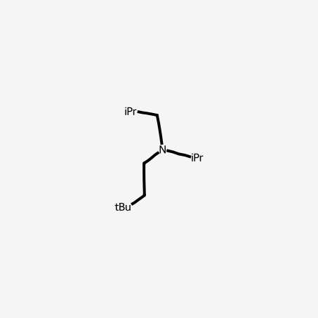 CC(C)CN(CCC(C)(C)C)C(C)C